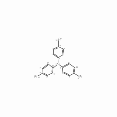 CC(C)c1ccc([S+](c2ccc(C(C)C)cc2)c2ccc(C(C)C)cc2)cc1